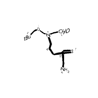 CC(C)(C)ON(C=O)CC(N)=S